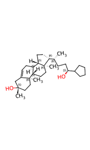 C[C@H](CC[C@H](O)C1CCCC1)[C@H]1CC[C@H]2[C@@H]3CC=C4C[C@@](C)(O)CC[C@]4(C)[C@H]3CC[C@]12C